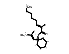 CCCCCCCCCCCCCCC=C(C)C(=O)OC1(C=C(C)C(=O)O)CCCCC1